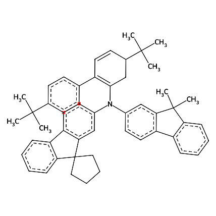 CC(C)(C)c1ccc(C2=C(N(c3ccc4c(c3)C(C)(C)c3ccccc3-4)c3ccc4c(c3)C3(CCCC3)c3ccccc3-4)CC(C(C)(C)C)C=C2)cc1